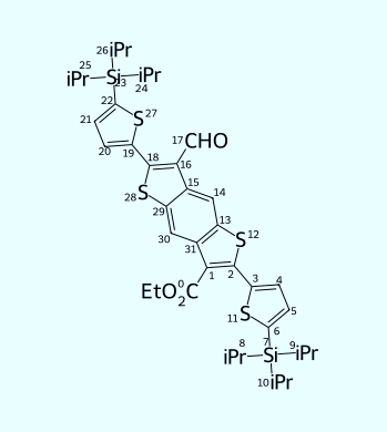 CCOC(=O)c1c(-c2ccc([Si](C(C)C)(C(C)C)C(C)C)s2)sc2cc3c(C=O)c(-c4ccc([Si](C(C)C)(C(C)C)C(C)C)s4)sc3cc12